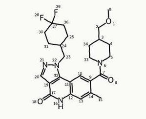 COCC1CCN(C(=O)c2cc3c(cc2C)[nH]c(=O)c2cnn(CC4CCC(F)(F)CC4)c23)CC1